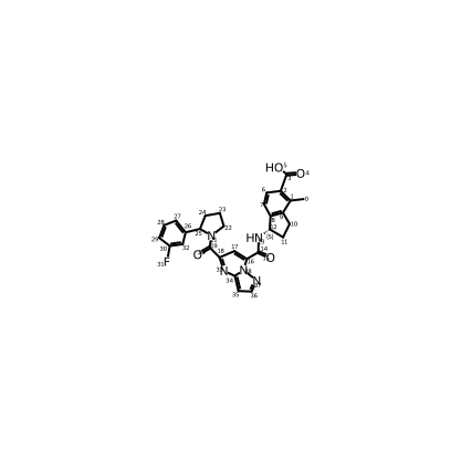 Cc1c(C(=O)O)ccc2c1CC[C@@H]2NC(=O)c1cc(C(=O)N2CCCC2c2cccc(F)c2)nc2ccnn12